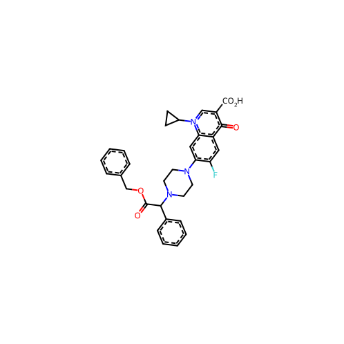 O=C(O)c1cn(C2CC2)c2cc(N3CCN(C(C(=O)OCc4ccccc4)c4ccccc4)CC3)c(F)cc2c1=O